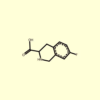 O=C(O)C1Cc2ccc(F)cc2CN1